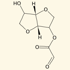 O=CC(=O)OC1CO[C@H]2C(O)CO[C@@H]12